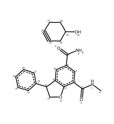 CNC(=O)c1cc(C(N)=O)cc2c1OCC2c1ccccc1.OC1CC#CCC1